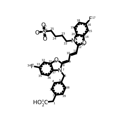 O=C(O)Cc1ccc(CN2/C(=C/C=C/c3oc4cc(F)ccc4[n+]3CCCCS(=O)(=O)[O-])Oc3cc(F)ccc32)cc1